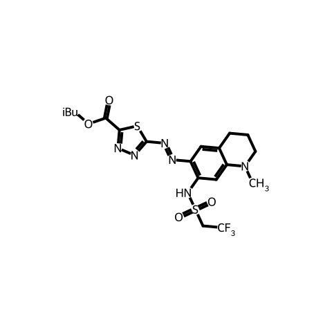 CCC(C)OC(=O)c1nnc(N=Nc2cc3c(cc2NS(=O)(=O)CC(F)(F)F)N(C)CCC3)s1